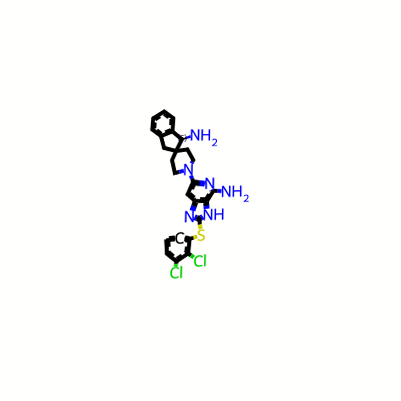 Nc1nc(N2CCC3(CC2)Cc2ccccc2[C@H]3N)cc2nc(Sc3cccc(Cl)c3Cl)[nH]c12